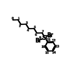 CCCCCCCC[Si](Br)(Br)c1ccccc1